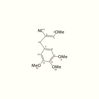 COC=C(C#N)Cc1cc(OC)c(OC)c(OC)c1